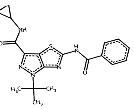 CC(C)(C)n1nc(C(=O)NC2CC2)c2sc(NC(=O)c3ccccc3)nc21